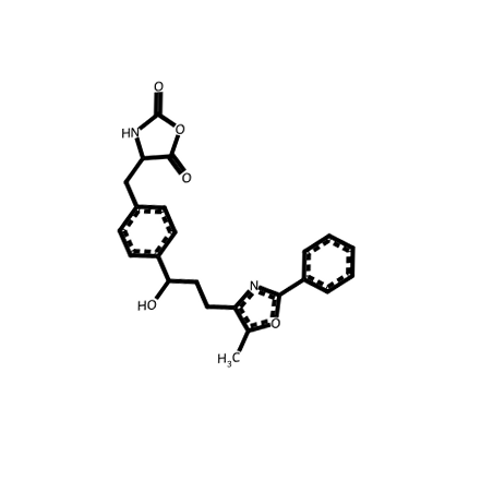 Cc1oc(-c2ccccc2)nc1CCC(O)c1ccc(CC2NC(=O)OC2=O)cc1